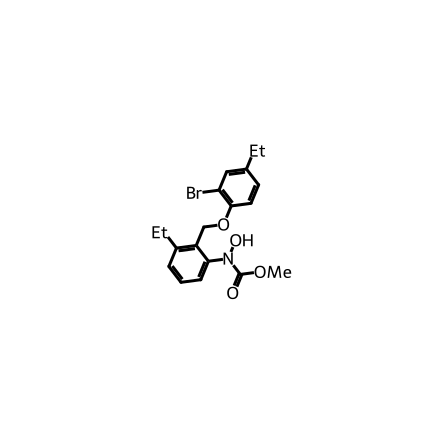 CCc1ccc(OCc2c(CC)cccc2N(O)C(=O)OC)c(Br)c1